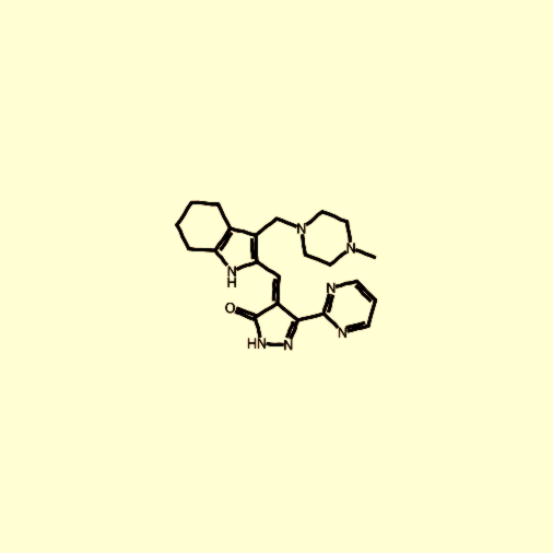 CN1CCN(Cc2c(C=C3C(=O)NN=C3c3ncccn3)[nH]c3c2CCCC3)CC1